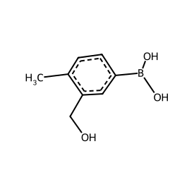 Cc1ccc(B(O)O)cc1CO